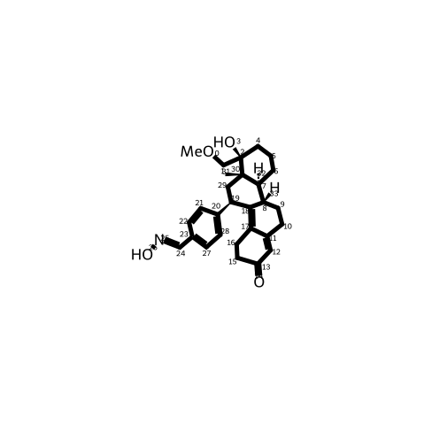 COC[C@]1(O)CCC[C@H]2[C@@H]3CCC4=CC(=O)CCC4=C3[C@@H](c3ccc(/C=N/O)cc3)C[C@@]21C